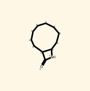 O=C1NC2CCCCCCCCC12